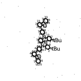 CC(C)(C)c1ccc2c(c1)B1c3cc(C(C)(C)C)ccc3N(c3ccc(-c4cccc5c4oc4ccccc45)cc3)c3cccc(c31)N2c1ccc(-c2cccc3c2oc2ccccc23)cc1